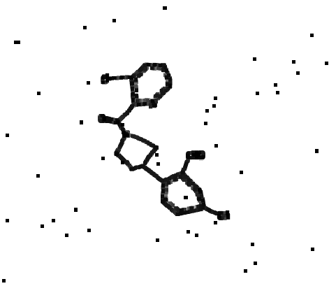 O=Cc1cc(O)ccc1C1CCN(C(=O)c2ncccc2Cl)C1